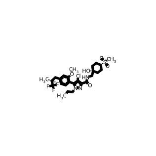 CCCn1nc(C(=O)NC[C@]2(O)CC[C@@H](S(C)(=O)=O)CC2)c(Cl)c1-c1ccc(C[C@@H](C)C(F)(F)F)cc1OC